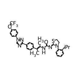 C/C(NC(=O)/N=C1\SCCN1c1ccccc1C(C)C)=C(/C)c1ccc(-c2ncn(-c3ccc(OC(F)(F)F)cc3)n2)cc1